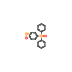 O=P.O=P(c1ccccc1)(c1ccccc1)c1ccccc1